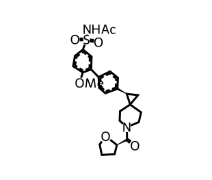 COc1ccc(S(=O)(=O)NC(C)=O)cc1-c1ccc([C@H]2CC23CCN(C(=O)[C@H]2CCCO2)CC3)cc1